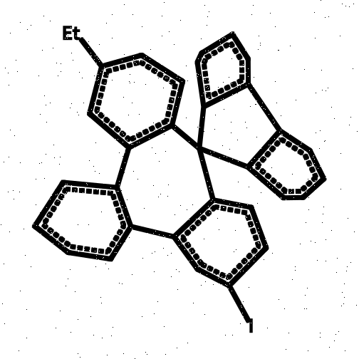 CCc1ccc2c(c1)-c1ccccc1-c1cc(I)ccc1C21c2ccccc2-c2ccccc21